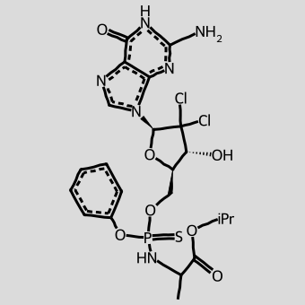 CC(C)OC(=O)C(C)NP(=S)(OC[C@H]1O[C@@H](n2cnc3c(=O)[nH]c(N)nc32)C(Cl)(Cl)[C@@H]1O)Oc1ccccc1